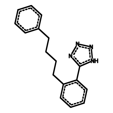 c1ccc(CCCCc2ccccc2-c2nnn[nH]2)cc1